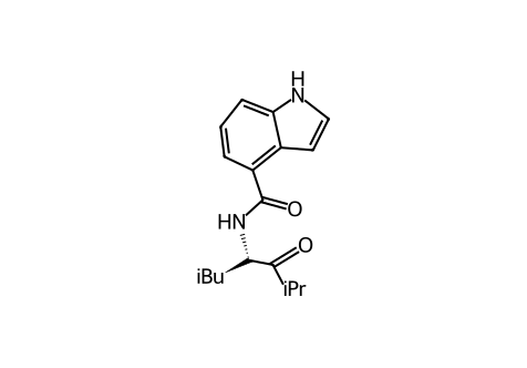 CC[C@H](C)[C@H](NC(=O)c1cccc2[nH]ccc12)C(=O)C(C)C